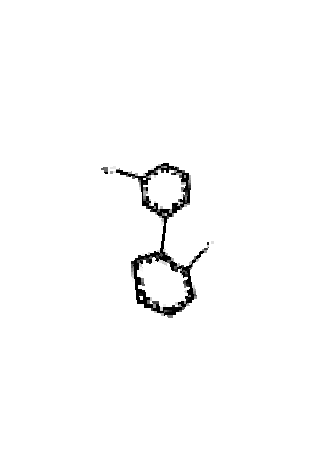 N#Cc1cccc(-c2ccccc2Cl)c1